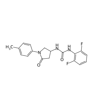 Cc1ccc(N2CC(NC(=O)Nc3c(F)cccc3F)CC2=O)cc1